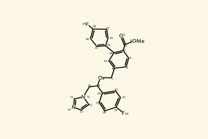 COC(=O)c1ccc(COC(Cn2ccnc2)c2ccc(F)cc2)cc1-c1ccc(F)cc1